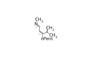 C=C(C)/C(=C\C=N\C)CCCCC